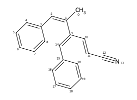 CC(=Cc1ccccc1)C(C=CC#N)=Cc1ccccc1